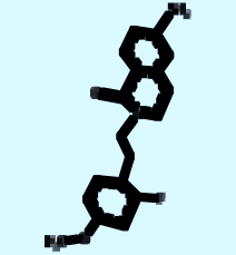 COc1ccc(CCn2ccc3cc(N)ccc3c2=O)c(F)c1